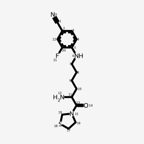 N#Cc1ccc(NCCCCC(N)C(=O)N2CCSC2)c(F)c1